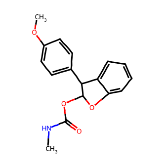 CNC(=O)OC1Oc2ccccc2C1c1ccc(OC)cc1